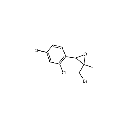 CC1(CBr)OC1c1ccc(Cl)cc1Cl